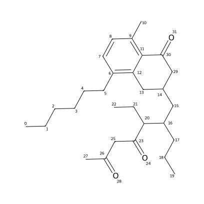 CCCCCCc1ccc(C)c2c1CC(CC(CCC)C(CC)C(=O)CC(C)=O)CC2=O